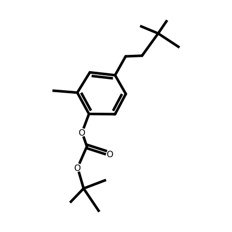 Cc1cc(CCC(C)(C)C)ccc1OC(=O)OC(C)(C)C